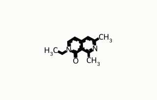 CCn1ccc2cc(C)nc(C)c2c1=O